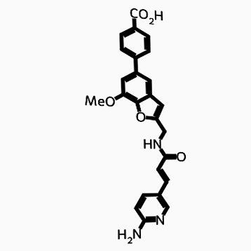 COc1cc(-c2ccc(C(=O)O)cc2)cc2cc(CNC(=O)C=Cc3ccc(N)nc3)oc12